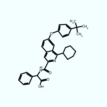 CC(C)(C)c1ccc(Oc2ccc3cc(C(=O)NC(C(=O)O)c4ccccc4)nc(C4CCCCC4)c3c2)cc1